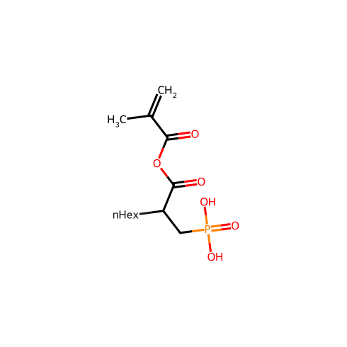 C=C(C)C(=O)OC(=O)C(CCCCCC)CP(=O)(O)O